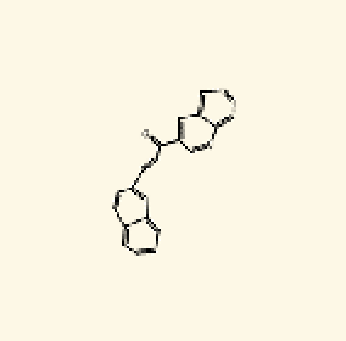 O=C(C=Cc1ccc2ccccc2c1)c1cnc2ccccc2c1